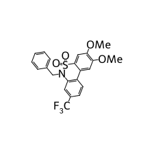 COc1cc2c(cc1OC)S(=O)(=O)N(Cc1ccccc1)c1cc(C(F)(F)F)ccc1-2